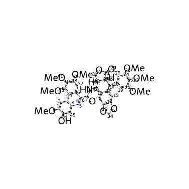 COc1ccc(/C=C(/C(=O)N[C@@H]2c3cc4c(cc3[C@@H](c3cc(OC)c(OC)c(OC)c3)[C@H]3C(=O)OC[C@@H]32)OCO4)c2cc(OC)c(OC)c(OC)c2)cc1O